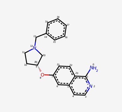 Nc1nccc2cc(O[C@@H]3CCN(Cc4ccccc4)C3)ccc12